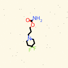 NC(=O)OCCCN1CCC(F)(F)CC1